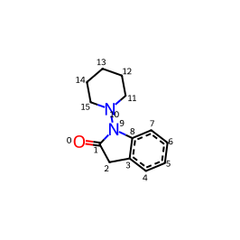 O=C1Cc2ccccc2N1N1CCCCC1